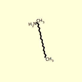 CCCCCCCCCCCCCCCCCCCC(C)N